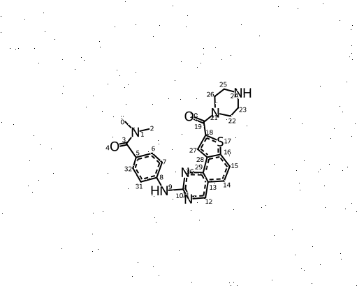 CN(C)C(=O)c1ccc(Nc2ncc3ccc4sc(C(=O)N5CCNCC5)cc4c3n2)cc1